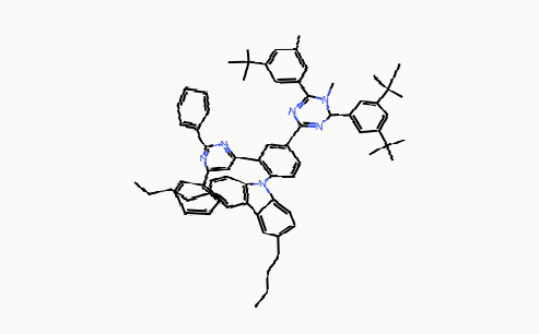 CCCCc1ccc2c(c1)c1cc(CCCC)ccc1n2-c1ccc(C2=NC(c3cc(C(C)(C)C)cc(C(C)(C)C)c3)N(C)C(c3cc(C)cc(C(C)(C)C)c3)=N2)cc1-c1cc(-c2ccccc2)nc(-c2ccccc2)n1